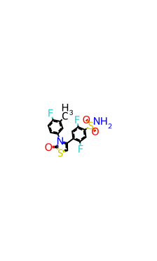 Cc1cc(-n2c(-c3cc(F)c(S(N)(=O)=O)cc3F)csc2=O)ccc1F